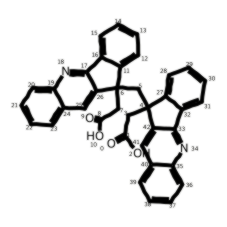 O=C(O)CC1(CC2(CC(=O)O)c3ccccc3-c3nc4ccccc4cc32)c2ccccc2-c2nc3ccccc3cc21